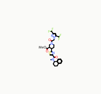 COC(=O)C1CN(C(=O)Cn2nc(C(F)F)cc2C(F)F)CCC1c1nc(C(=O)N(C)C2CCCc3ccccc32)cs1